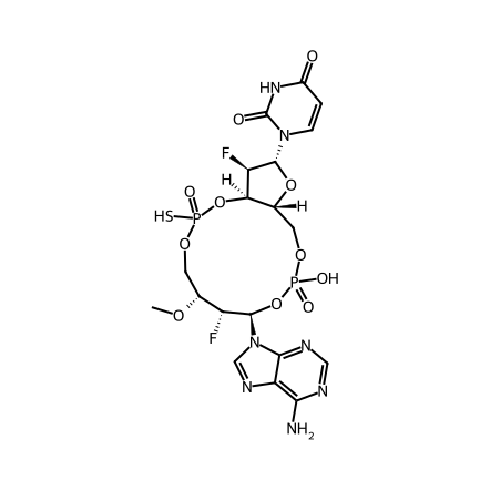 CO[C@@H]1COP(=O)(S)O[C@H]2[C@@H](F)[C@H](n3ccc(=O)[nH]c3=O)O[C@@H]2COP(=O)(O)O[C@@H](n2cnc3c(N)ncnc32)[C@@H]1F